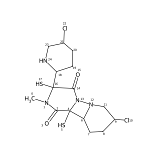 CN1C(=O)C2(S)C3CCC(Cl)CN3N2C(=O)C1(S)C1CCC(Cl)CN1